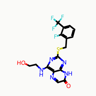 O=c1cnc2c(NCCO)nc(SCc3cccc(C(F)(F)F)c3F)nc2[nH]1